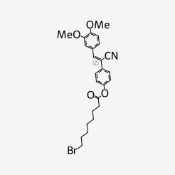 COc1ccc(/C=C(\C#N)c2ccc(OC(=O)CCCCCCCBr)cc2)cc1OC